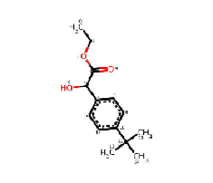 CCOC(=O)C(O)c1ccc(C(C)(C)C)cc1